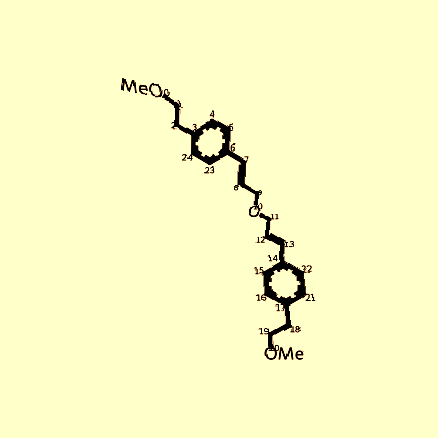 COCCc1ccc(/C=C/COC/C=C/c2ccc(CCOC)cc2)cc1